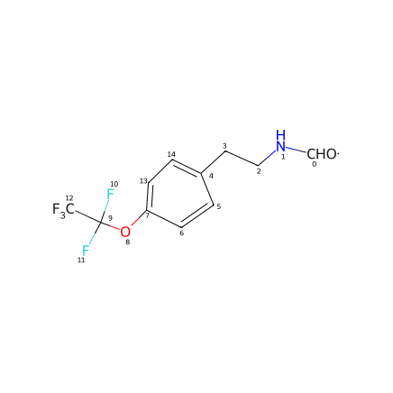 O=[C]NCCc1ccc(OC(F)(F)C(F)(F)F)cc1